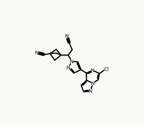 N#CCC(n1cc(-c2nc(Cl)cn3nccc23)cn1)C12CC(C#N)(C1)C2